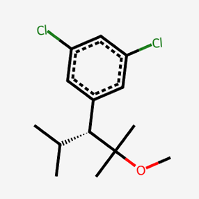 COC(C)(C)[C@@H](c1cc(Cl)cc(Cl)c1)C(C)C